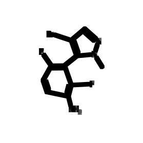 Cn1ncc(Br)c1-c1c(F)ccc(N)c1F